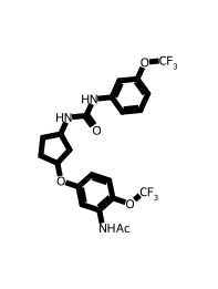 CC(=O)Nc1cc(OC2CCC(NC(=O)Nc3cccc(OC(F)(F)F)c3)C2)ccc1OC(F)(F)F